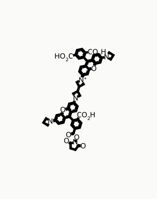 O=C(O)c1ccc(C(=O)O)c(-c2c3ccc(=[N+]4CC(C5CN(c6ccc7c(-c8cc(C(=O)ON9C(=O)CCC9=O)ccc8C(=O)O)c8ccc(=[N+]9CCC9)cc-8oc7c6)C5)C4)cc-3oc3cc(N4CCC4)ccc23)c1